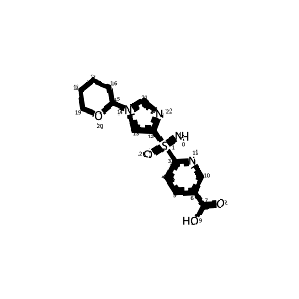 N=S(=O)(c1ccc(C(=O)O)cn1)c1cn(C2CCCCO2)cn1